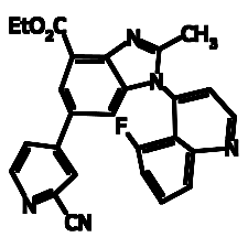 CCOC(=O)c1cc(-c2ccnc(C#N)c2)cc2c1nc(C)n2-c1ccnc2cccc(F)c12